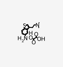 CN(C)CCc1csc2ccc(N)cc12.O=C(O)C(=O)O